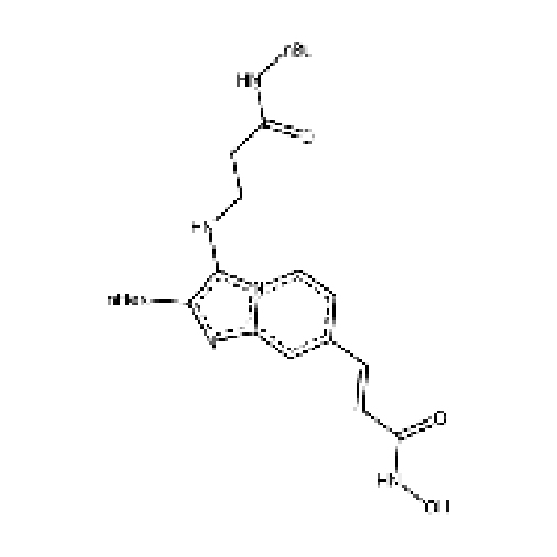 CCCCCCc1nc2cc(C=CC(=O)NO)ccn2c1NCCC(=O)NCCCC